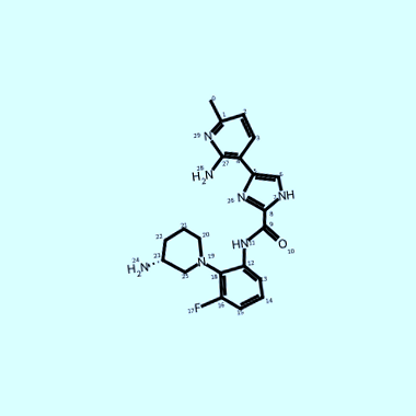 Cc1ccc(-c2c[nH]c(C(=O)Nc3cccc(F)c3N3CCC[C@@H](N)C3)n2)c(N)n1